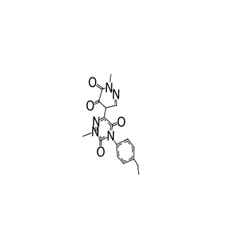 CCc1ccc(-n2c(=O)c(C3C=NN(C)C(=O)C3=O)nn(C)c2=O)cc1